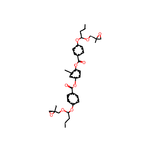 CCCC(OCC1(C)CO1)Oc1ccc(C(=O)Oc2ccc(OC(=O)c3ccc(OC(CCC)OCC4(C)CO4)cc3)c(C)c2)cc1